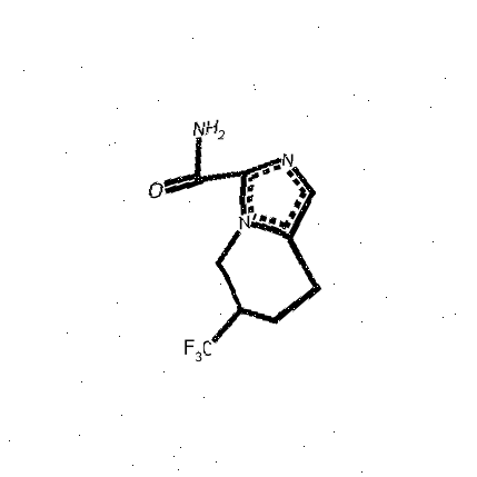 NC(=O)c1ncc2n1CC(C(F)(F)F)CC2